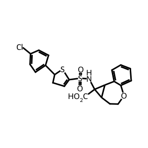 O=C(O)C1(NS(=O)(=O)C2=CCC(c3ccc(Cl)cc3)S2)C2CCOc3ccccc3C21